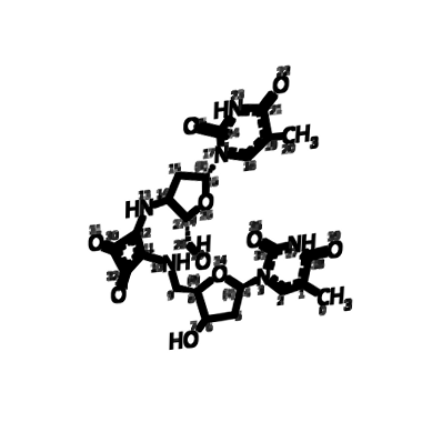 Cc1cn([C@H]2CC(O)[C@@H](CNc3c(NC4C[C@H](n5cc(C)c(=O)[nH]c5=O)O[C@@H]4CO)c(=O)c3=O)O2)c(=O)[nH]c1=O